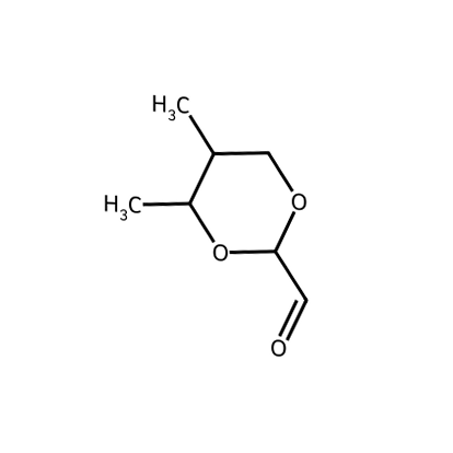 CC1COC(C=O)OC1C